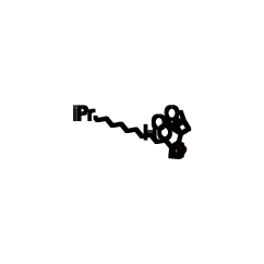 CC(C)CCCCCCCCCCC12CC3(C1)CC2(C12CC4(COC(=O)C1(O)C4)C2)C3